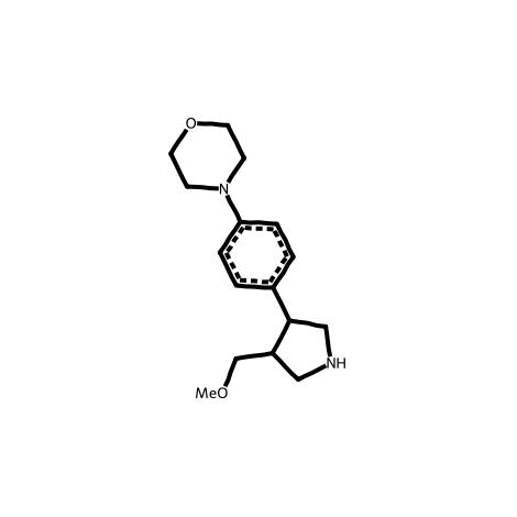 COCC1CNCC1c1ccc(N2CCOCC2)cc1